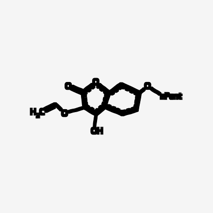 C=COc1c(O)c2ccc(OCCCCC)cc2oc1=O